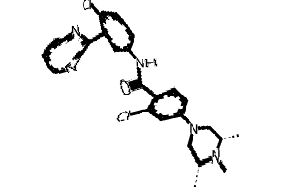 C[C@@H]1CN(c2ccc(C(=O)Nc3ccc(Cl)c(-c4ncccn4)c3)c(Cl)c2)C[C@H](C)N1C